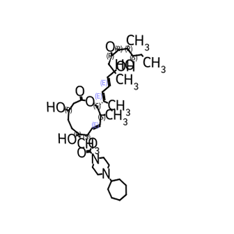 CC[C@H](O)[C@@H](C)[C@H]1O[C@@H]1CC(C)(O)/C=C/C=C(\C)[C@H]1OC(=O)C[C@H](O)CC[C@@](C)(O)[C@@H](OC(=O)N2CCN(C3CCCCCC3)CC2)/C=C/[C@@H]1C